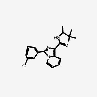 CC(NC(=O)c1nc(-c2cccc(Cl)c2)n2ccccc12)C(C)(C)C